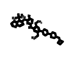 CCc1cc(Nc2ncc(Br)c(Nc3ccc4nccnc4c3P(C)(C)=O)n2)c(OC)cc1N1CCC(N2CCN(CC3CCC3)CC2)CC1